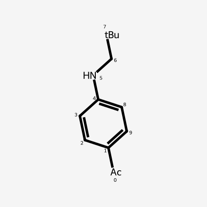 CC(=O)c1ccc(NCC(C)(C)C)cc1